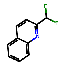 F[C](F)c1ccc2ccccc2n1